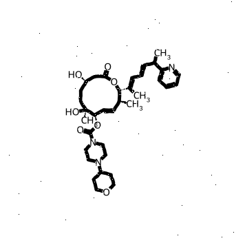 C/C(=C\C=C\C(C)c1ccccn1)[C@H]1OC(=O)C[C@@H](O)CC[C@](C)(O)[C@@H](OC(=O)N2CCN(C3CCOCC3)CC2)/C=C/[C@@H]1C